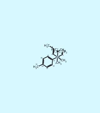 C=CS(C)(C)(/C=C/C)(C(=C)C)c1ccc(C)cc1